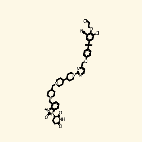 Cn1c(=O)n(C2CCC(=O)NC2=O)c2cccc(CN3CCC(CN4CCC(C5CCN(c6nccc(COc7ccc(C(C)(C)c8cc(Cl)c(OCCCl)c(C#N)c8)cc7)n6)CC5)CC4)CC3)c21